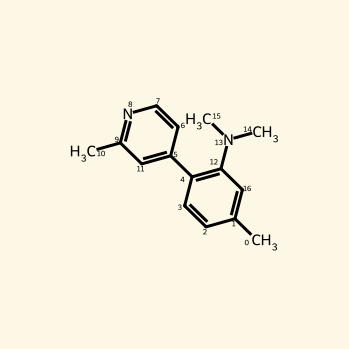 Cc1ccc(-c2ccnc(C)c2)c(N(C)C)c1